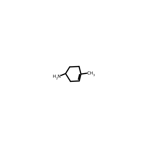 CC1=CCC(N)CC1